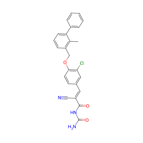 Cc1c(COc2ccc(/C=C(\C#N)C(=O)NC(N)=O)cc2Cl)cccc1-c1ccccc1